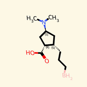 BCCC[C@H]1C[C@H](N(C)C)C[C@H]1C(=O)O